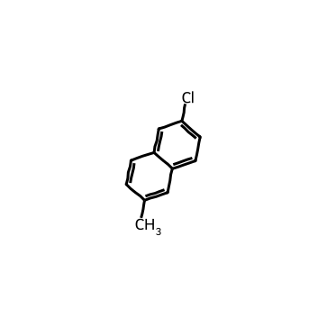 Cc1ccc2cc(Cl)ccc2c1